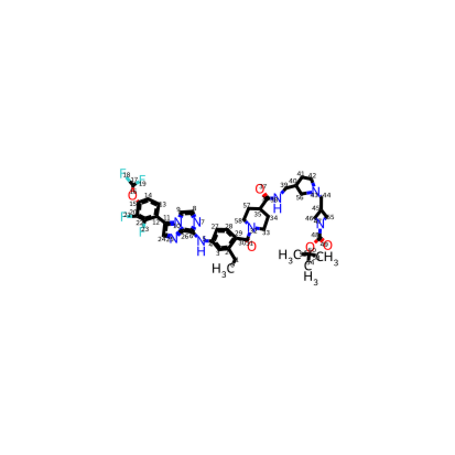 CCc1cc(Nc2nccn3c(-c4ccc(OC(F)F)c(F)c4F)cnc23)ccc1C(=O)N1CCC(C(=O)NCC2CCN(CC3CN(C(=O)OC(C)(C)C)C3)C2)CC1